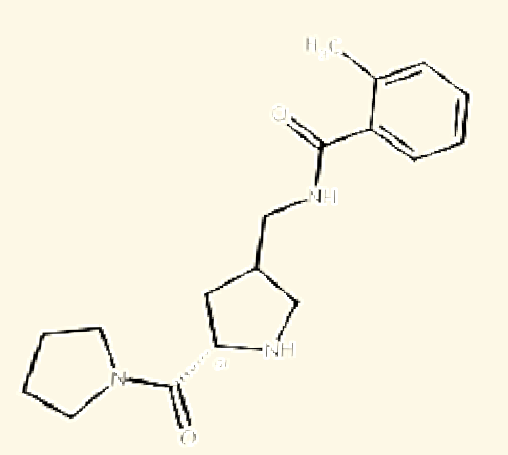 Cc1ccccc1C(=O)NCC1CN[C@H](C(=O)N2CCCC2)C1